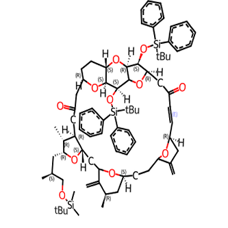 C=C1C[C@@H]2/C=C/C(=O)C[C@H]3OC4[C@@H](O[C@H]5CC[C@H](CC(=O)C[C@@H]6[C@@H](C)[C@@H](C[C@H](C)CO[Si](C)(C)C(C)(C)C)O[C@H]6CC6O[C@@H](CCC1O2)C[C@@H](C)C6=C)O[C@@H]5[C@@H]4O[Si](c1ccccc1)(c1ccccc1)C(C)(C)C)[C@H]3O[Si](c1ccccc1)(c1ccccc1)C(C)(C)C